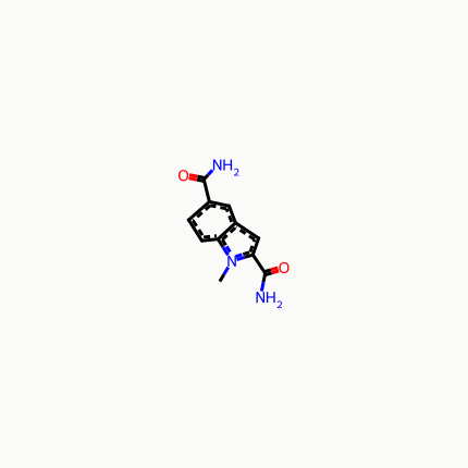 Cn1c(C(N)=O)cc2cc(C(N)=O)ccc21